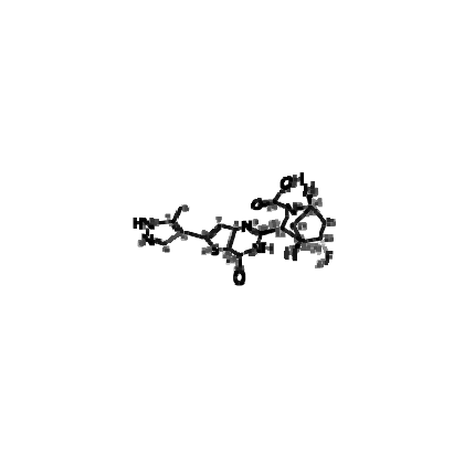 Cc1[nH]ncc1-c1cc2nc([C@@H]3[C@@H]4C[C@@H](C[C@@H]4F)N3C(=O)O)[nH]c(=O)c2s1